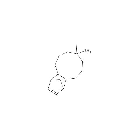 BC1(C)CCCC2C3C=CC(C3)C2CCC1